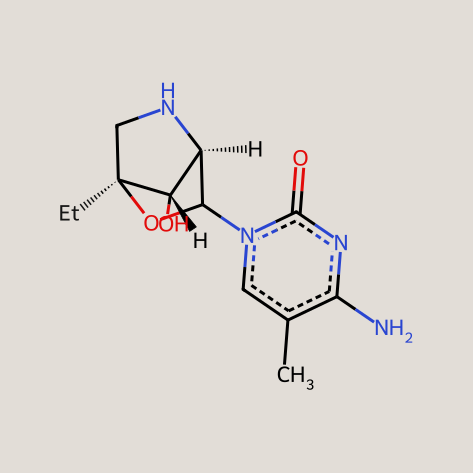 CC[C@@]12CN[C@@H](C(n3cc(C)c(N)nc3=O)O1)[C@@H]2O